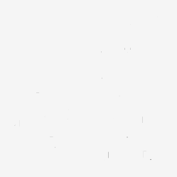 O=[C]OCc1cc(C(F)(F)F)cc(C(F)(F)F)c1